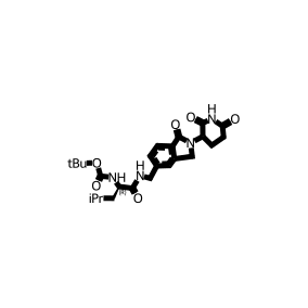 CC(C)C[C@@H](NC(=O)OC(C)(C)C)C(=O)NCc1ccc2c(c1)CN(C1CCC(=O)NC1=O)C2=O